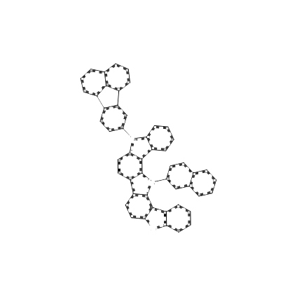 c1ccc2cc(-n3c4c(ccc5oc6ccccc6c54)c4ccc5c(c6ccccc6n5-c5ccc6c(c5)-c5cccc7cccc-6c57)c43)ccc2c1